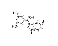 Oc1cc(O)cc(C(O)c2c[nH]c3ncc(Br)cc23)c1